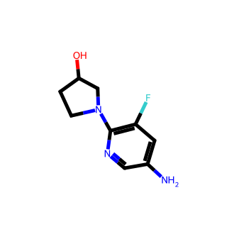 Nc1cnc(N2CCC(O)C2)c(F)c1